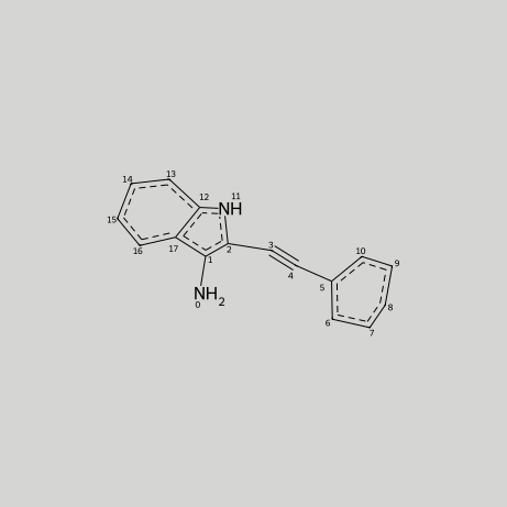 Nc1c(C#Cc2ccccc2)[nH]c2ccccc12